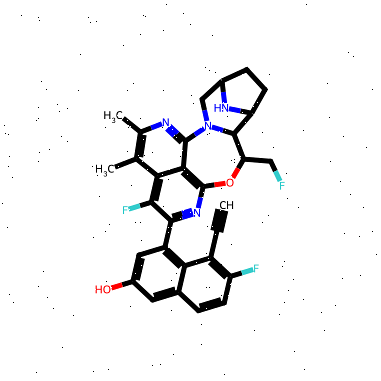 C#Cc1c(F)ccc2cc(O)cc(-c3nc4c5c(nc(C)c(C)c5c3F)N3CC5CCC(N5)C3C(CF)O4)c12